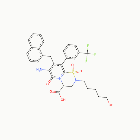 Nc1c(Cc2cccc3ccccc23)c(-c2cccc(C(F)(F)F)c2)c2n(c1=O)C(C(=O)O)CN(CCCCCO)S2(=O)=O